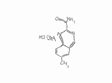 Cc1ccc2nc(C(N)=O)ncc2c1.Cl.Cl